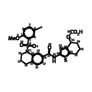 COc1ccc(C)cc1S(=O)(=O)N1CCCc2ccc(C(=O)Nc3nc4c(s3)CCCC4OC(=O)O)cc21